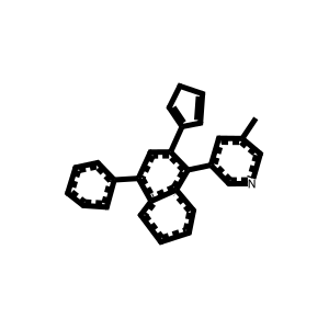 Cc1cncc(-c2c(C3=CCC=C3)cc(-c3ccccc3)c3ccccc23)c1